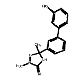 CN1OC(C)(c2cccc(-c3cccc(O)c3)c2)NC1=N